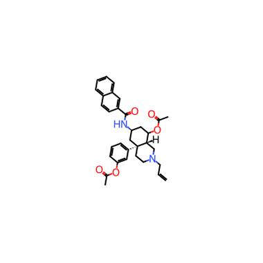 C=CCN1CC[C@@]2(c3cccc(OC(C)=O)c3)C[C@@H](NC(=O)c3ccc4ccccc4c3)CC(OC(C)=O)[C@@H]2C1